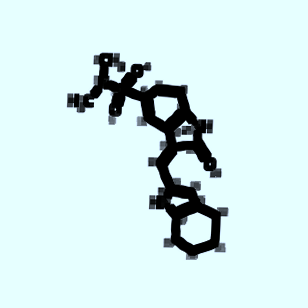 CN(C)S(=O)(=O)c1ccc2c(c1)C(=Cc1cc3c([nH]1)CCCC3)C(=O)N2